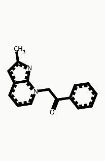 Cc1cc2cccn(CC(=O)c3ccccc3)c-2n1